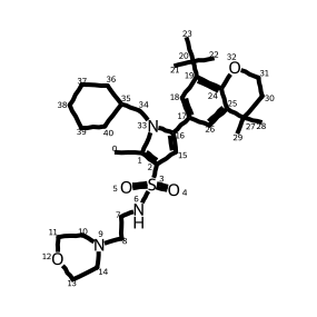 Cc1c(S(=O)(=O)NCCN2CCOCC2)cc(-c2cc(C(C)(C)C)c3c(c2)C(C)(C)CCO3)n1CC1CCCCC1